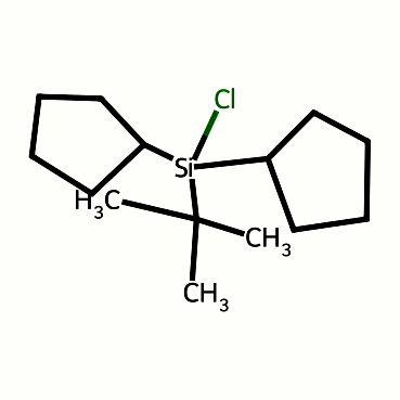 CC(C)(C)[Si](Cl)(C1CCCC1)C1CCCC1